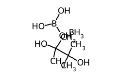 B.CC(C)(O)C(C)(C)O.OB(O)O